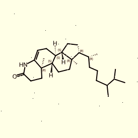 CC(C)C(C)CCC[C@@H](C)[C@H]1CC[C@H]2[C@@H]3CC=C4NC(=O)CC[C@]4(C)[C@H]3CC[C@]12C